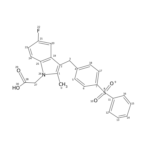 Cc1c(Cc2ccc(S(=O)(=O)c3ccccc3)cc2)c2cc(F)ccc2n1CC(=O)O